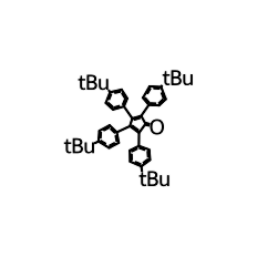 CC(C)(C)c1ccc(C2=C(c3ccc(C(C)(C)C)cc3)C(c3ccc(C(C)(C)C)cc3)=C(c3ccc(C(C)(C)C)cc3)C2=O)cc1